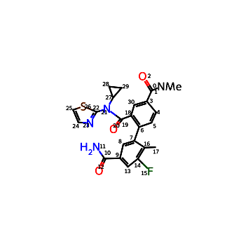 CNC(=O)c1ccc(-c2cc(C(N)=O)cc(F)c2C)c(C(=O)N(c2nccs2)C2CC2)c1